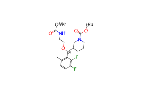 COC(=O)NCCO[C@@H](c1c(C)ccc(F)c1F)C1CCCN(C(=O)OC(C)(C)C)C1